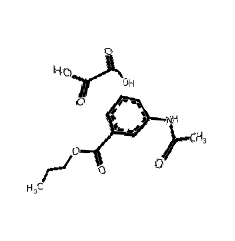 CCCOC(=O)c1cccc(NC(C)=O)c1.O=C(O)C(=O)O